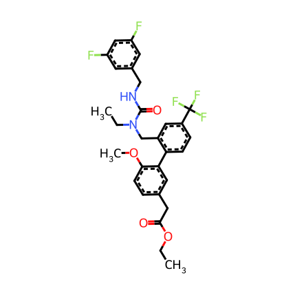 CCOC(=O)Cc1ccc(OC)c(-c2ccc(C(F)(F)F)cc2CN(CC)C(=O)NCc2cc(F)cc(F)c2)c1